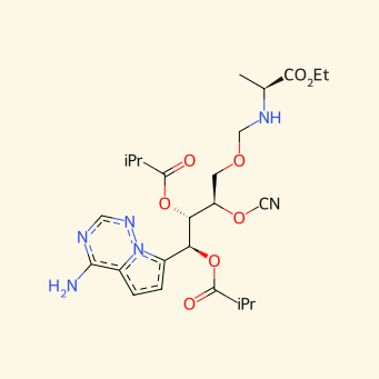 CCOC(=O)[C@H](C)NCOC[C@@H](OC#N)[C@@H](OC(=O)C(C)C)[C@@H](OC(=O)C(C)C)c1ccc2c(N)ncnn12